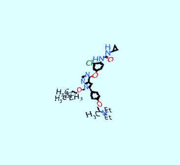 CCN(CC)C(C)COc1ccc(-c2cc3c(Oc4ccc(NC(=O)NC5CC5)c(Cl)c4)ncnc3n2COCC[Si](C)(C)C)cc1